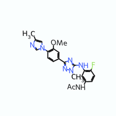 COc1cc(-c2nc(Nc3cc(NC(C)=O)ccc3F)n(C)n2)ccc1-n1cnc(C)c1